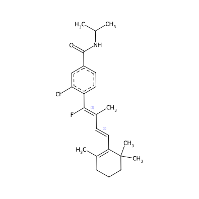 CC1=C(/C=C/C(C)=C(\F)c2ccc(C(=O)NC(C)C)cc2Cl)C(C)(C)CCC1